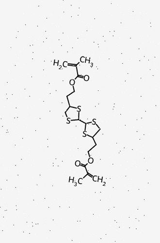 C=C(C)C(=O)OCCC1CSC(C2SCC(CCOC(=O)C(=C)C)S2)S1